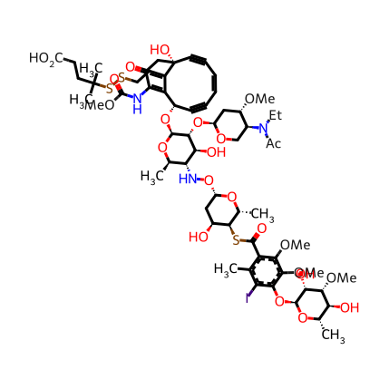 CCN(C(C)=O)[C@H]1CO[C@@H](O[C@H]2[C@H](O[C@H]3C#C/C=C\C#C[C@]4(O)CC(=O)C(NC(=O)OC)=C3/C4=C\CSSC(C)(C)CCC(=O)O)O[C@H](C)[C@@H](NO[C@H]3C[C@H](O)[C@H](SC(=O)c4c(C)c(I)c(O[C@@H]5O[C@@H](C)[C@H](O)[C@@H](OC)[C@H]5O)c(OC)c4OC)[C@@H](C)O3)[C@@H]2O)C[C@@H]1OC